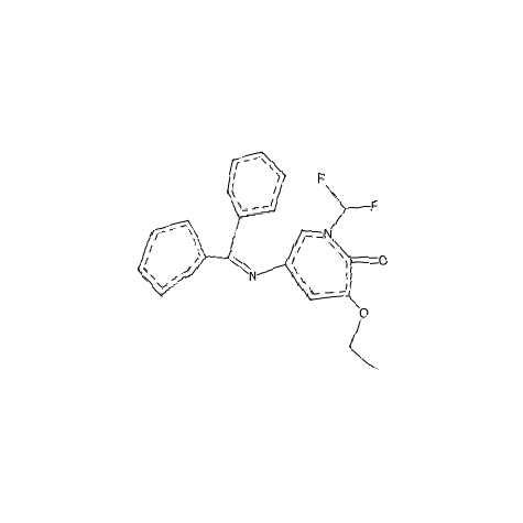 CCOc1cc(N=C(c2ccccc2)c2ccccc2)cn(C(F)F)c1=O